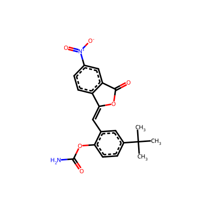 CC(C)(C)c1ccc(OC(N)=O)c(/C=C2\OC(=O)c3cc([N+](=O)[O-])ccc32)c1